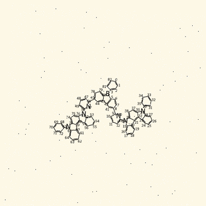 c1ccc(B2c3ccc(-c4cccc(-n5c6ccccc6c6c7c8ccccc8n(-c8ccccc8)c7ccc65)n4)cc3-c3cc(-c4cccc(-n5c6ccccc6c6c7c8ccccc8n(-c8ccccc8)c7ccc65)n4)ccc32)cc1